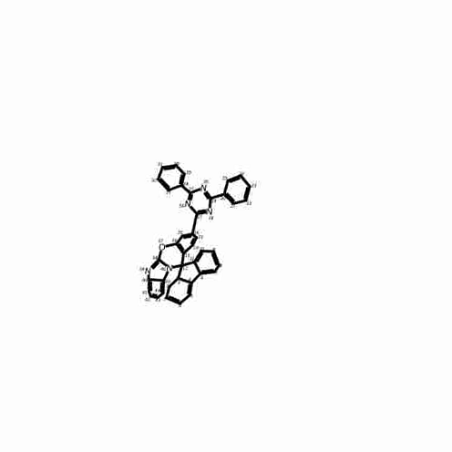 C1=CCC2C(=C1)c1ccccc1C21c2ccc(-c3nc(-c4ccccc4)nc(-c4ccccc4)n3)cc2Oc2nc3ccccc3n21